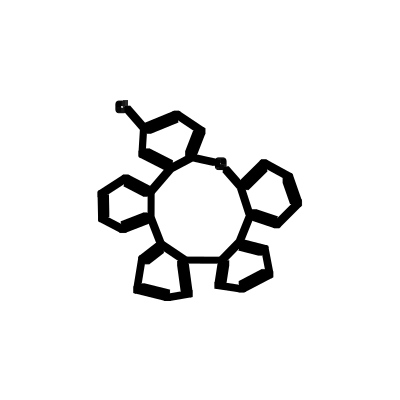 Clc1ccc2c(c1)-c1ccccc1-c1ccccc1-c1ccccc1-c1ccccc1O2